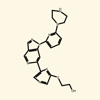 OCCOc1cncc(-c2cc3c(cn2)cnn3-c2cccc(N3CCNCC3)n2)n1